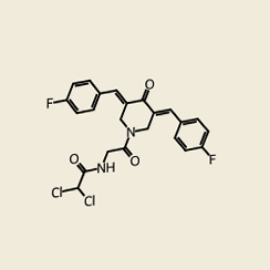 O=C1/C(=C/c2ccc(F)cc2)CN(C(=O)CNC(=O)C(Cl)Cl)C/C1=C\c1ccc(F)cc1